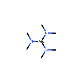 C[N](C)[Mo]([N](C)C)[N](C)C